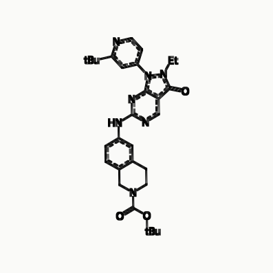 CCn1c(=O)c2cnc(Nc3ccc4c(c3)CCN(C(=O)OC(C)(C)C)C4)nc2n1-c1ccnc(C(C)(C)C)c1